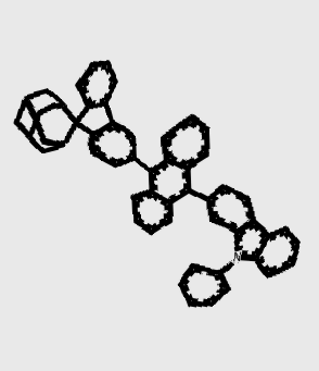 c1ccc(-n2c3ccccc3c3ccc(-c4c5ccccc5c(-c5ccc6c(c5)-c5ccccc5C65C6CC7CC(C6)CC5C7)c5ccccc45)cc32)cc1